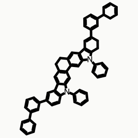 C1=CCC(c2cccc(C3=Cc4c(n(-c5ccccc5)c5cc6c(cc45)CCc4cc5c7cc(-c8cccc(-c9ccccc9)c8)ccc7n(-c7ccccc7)c5cc4-6)CC3)c2)C=C1